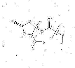 CCC(C)(C)C(=O)OC1(C)CC(=O)OC1C(C)C